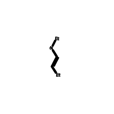 CCC=C[N]CC